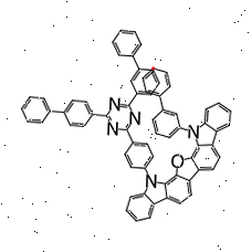 c1ccc(-c2ccc(-c3nc(-c4ccc(-n5c6ccccc6c6ccc7c8ccc9c%10ccccc%10n(-c%10cccc(-c%11ccccc%11)c%10)c9c8oc7c65)cc4)nc(-c4cccc(-c5ccccc5)c4)n3)cc2)cc1